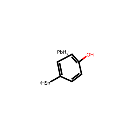 Oc1cc[c]([SnH])cc1.[PbH2]